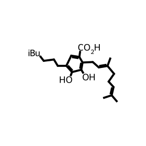 CCC(C)CCCc1cc(C(=O)O)c(C/C=C(\C)CCC=C(C)C)c(O)c1O